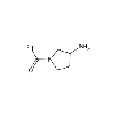 [2H]C(=O)N1CCC(N)C1